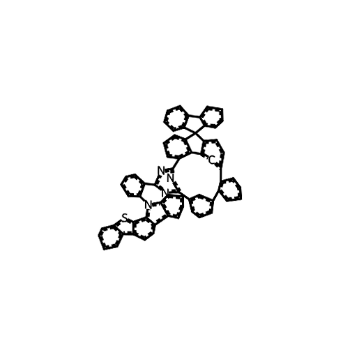 c1cc2cc(c1)-c1ccccc1-c1ccc3c(c1)-c1c(cccc1C31c3ccccc3-c3ccccc31)-c1nc-2nc(-c2ccccc2-n2c3ccccc3c3ccc4c5ccccc5sc4c32)n1